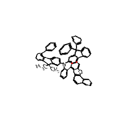 CC1(C)c2cc(N(c3ccc4c(c3)C(c3ccccc3)(c3ccccc3)c3ccccc3-4)c3ccccc3-c3cccc4oc5c6ccccc6ccc5c34)ccc2-c2c(-c3ccccc3)cccc21